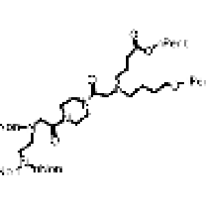 CCCCCCCCCN(CCCCCCCCC)CCN(CCCCCCCCC)CC(=O)N1CCN(C(=O)CN(CCCCOCCCCC)CCCC(=O)OCCCCC)CC1